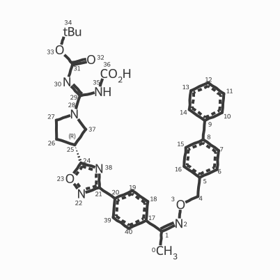 CC(=NOCc1ccc(-c2ccccc2)cc1)c1ccc(-c2noc([C@@H]3CCN(C(=NC(=O)OC(C)(C)C)NC(=O)O)C3)n2)cc1